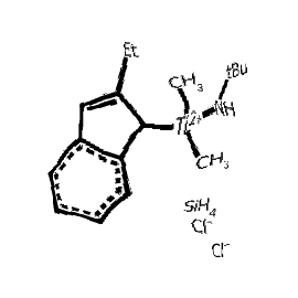 CCC1=Cc2ccccc2[CH]1[Ti+2]([CH3])([CH3])[NH]C(C)(C)C.[Cl-].[Cl-].[SiH4]